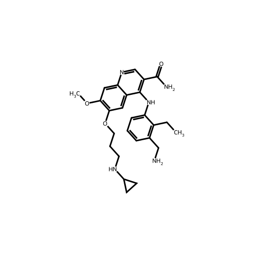 CCc1c(CN)cccc1Nc1c(C(N)=O)cnc2cc(OC)c(OCCCNC3CC3)cc12